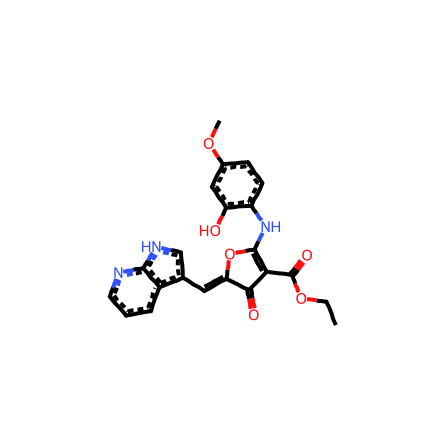 CCOC(=O)C1=C(Nc2ccc(OC)cc2O)O/C(=C\c2c[nH]c3ncccc23)C1=O